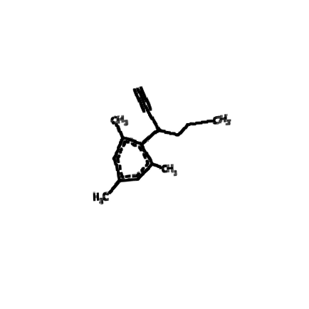 [C]#CC(CCC)c1c(C)cc(C)cc1C